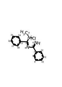 CN(Cl)/C(=N\C(=N)c1ccccc1)c1ccccc1